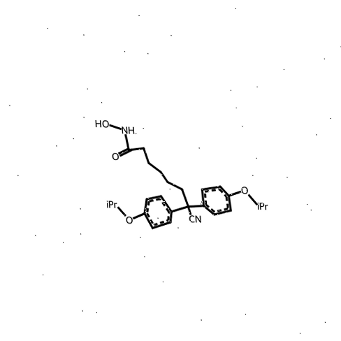 CC(C)Oc1ccc(C(C#N)(CCCCCC(=O)NO)c2ccc(OC(C)C)cc2)cc1